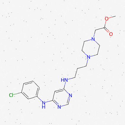 COC(=O)CN1CCN(CCCNc2cc(Nc3cccc(Cl)c3)ncn2)CC1